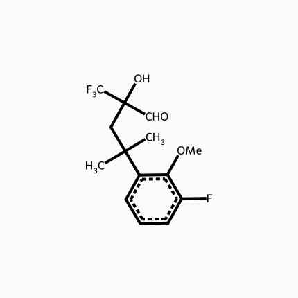 COc1c(F)cccc1C(C)(C)CC(O)(C=O)C(F)(F)F